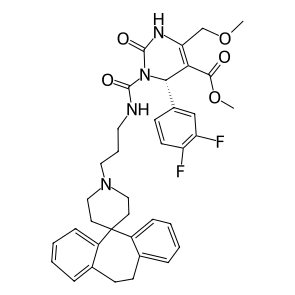 COCC1=C(C(=O)OC)[C@H](c2ccc(F)c(F)c2)N(C(=O)NCCCN2CCC3(CC2)c2ccccc2CCc2ccccc23)C(=O)N1